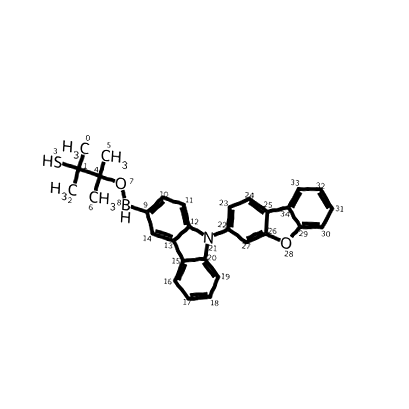 CC(C)(S)C(C)(C)OBc1ccc2c(c1)c1ccccc1n2-c1ccc2c(c1)oc1ccccc12